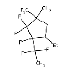 CCC1CC(C)(C(F)(F)F)C(F)(F)C1(F)C(C)(F)F